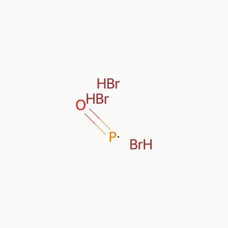 Br.Br.Br.O=[P]